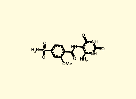 COc1cc(S(N)(=O)=O)ccc1C(=O)Nc1c(N)[nH]c(=O)[nH]c1=O